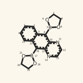 c1ccc2c(B3OCCO3)c3nccnc3c(B3OCCO3)c2c1